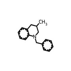 CC1Cc2ccccc2N(Cc2ccccc2)C1